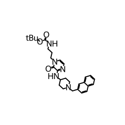 CC(C)(C)OC(=O)NCCCn1ccnc(NC2CCN(Cc3ccc4ccccc4c3)CC2)c1=O